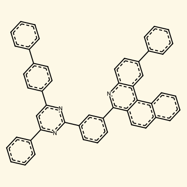 c1ccc(-c2ccc(-c3cc(-c4ccccc4)nc(-c4cccc(-c5nc6ccc(-c7ccccc7)cc6c6c5ccc5ccccc56)c4)n3)cc2)cc1